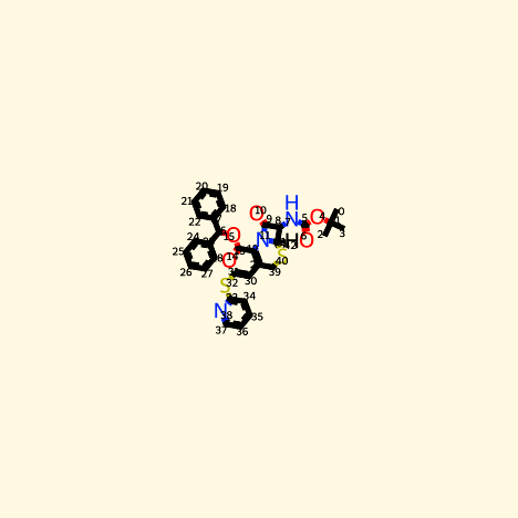 CC(C)(C)OC(=O)NC1C(=O)N2C(C(=O)OC(c3ccccc3)c3ccccc3)=C(C=CSc3ccccn3)CS[C@@H]12